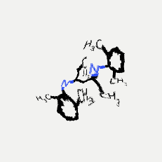 CCC(CC(CC)=Nc1c(C)cccc1C)=Nc1c(C)cccc1C